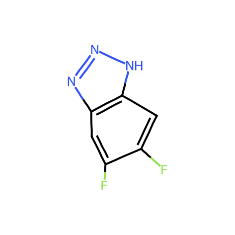 Fc1cc2nn[nH]c2cc1F